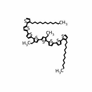 CCCCCCCCCCCCc1ccsc1-c1ccc(-c2ccc(-c3sc(-c4cc(CC)c(-c5ccc(-c6ccc(-c7sccc7CCCCCCCCCCCC)s6)s5)s4)cc3CC)s2)s1